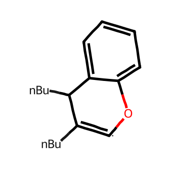 CCCCC1=[C]Oc2ccccc2C1CCCC